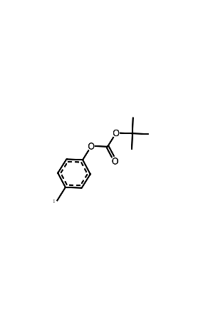 [CH]c1ccc(OC(=O)OC(C)(C)C)cc1